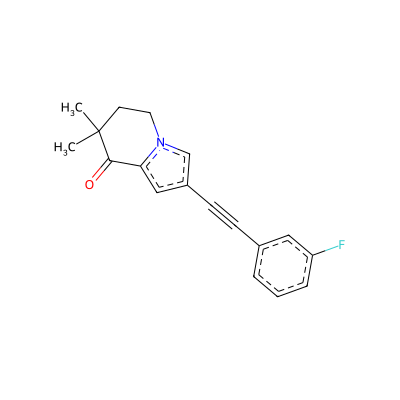 CC1(C)CCn2cc(C#Cc3cccc(F)c3)cc2C1=O